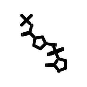 CC(C)(C)OC(=O)N1CCC(NS(=O)(=O)N2CCOC2=O)C1